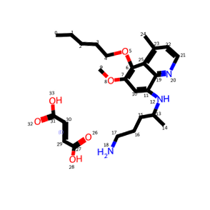 CCCCCOc1c(OC)cc(NC(C)CCCN)c2nccc(C)c12.O=C(O)/C=C/C(=O)O